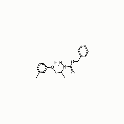 Cc1cccc(OCC(C)N(N)C(=O)OCc2ccccc2)c1